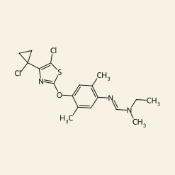 CCN(C)C=Nc1cc(C)c(Oc2nc(C3(Cl)CC3)c(Cl)s2)cc1C